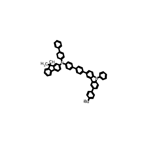 CCC(C)c1ccc(-c2ccc3c(c2)c2cc(-c4ccc(-c5ccc(N(C6=CC=C(c7ccccc7)CC6)c6ccc7c(c6)C(C)(C)c6ccccc6-7)cc5)cc4)ccc2n3-c2ccccc2)cc1